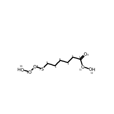 O=C(CCCCCSOOO)OO